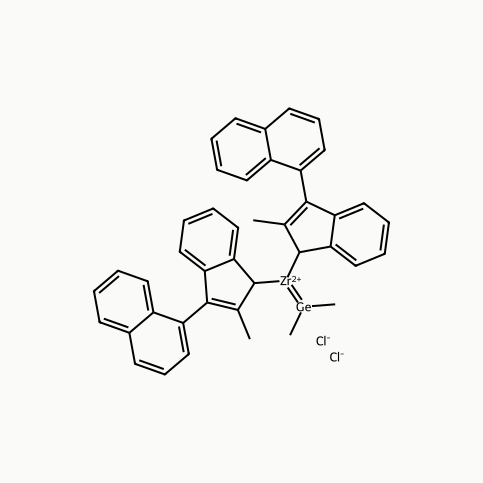 CC1=C(c2cccc3ccccc23)c2ccccc2[CH]1[Zr+2]([CH]1C(C)=C(c2cccc3ccccc23)c2ccccc21)=[Ge]([CH3])[CH3].[Cl-].[Cl-]